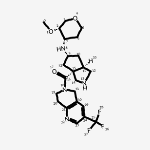 CO[C@@H]1COCC[C@@H]1N[C@@H]1C[C@H]2CNC[C@@]2(C(=O)N2CCc3ncc(C(F)(F)F)cc3C2)C1